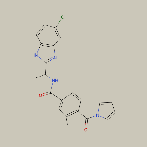 Cc1cc(C(=O)NC(C)c2nc3cc(Cl)ccc3[nH]2)ccc1C(=O)n1cccc1